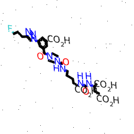 O=C(O)CCC(NC(=O)NC(CCCCNC(=O)N1CCN(C(=O)c2cc(C(=O)O)cc(-n3cc(CCCF)nn3)c2)CC1)C(=O)O)C(=O)O